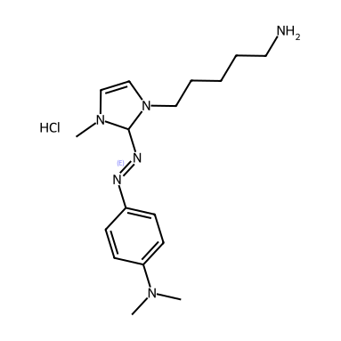 CN(C)c1ccc(/N=N/C2N(C)C=CN2CCCCCN)cc1.Cl